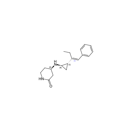 CC/C(=C\c1ccccc1)[C@@H]1C[C@H]1N[C@@H]1CCNC(=O)C1